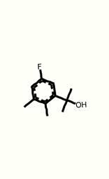 Cc1cc(F)cc(C(C)(C)O)c1C